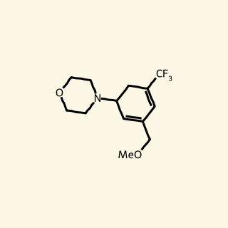 [CH2]OCC1=CC(N2CCOCC2)CC(C(F)(F)F)=C1